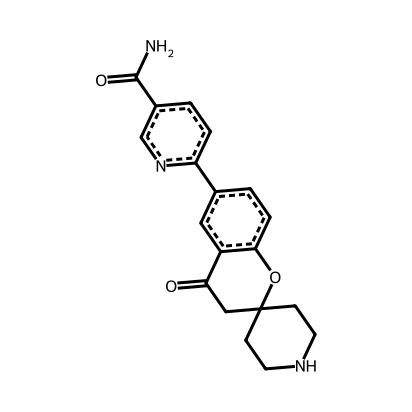 NC(=O)c1ccc(-c2ccc3c(c2)C(=O)CC2(CCNCC2)O3)nc1